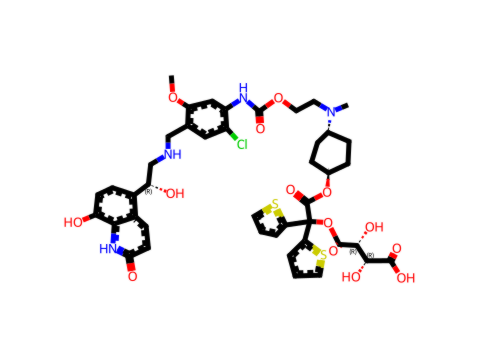 COc1cc(NC(=O)OCCN(C)[C@H]2CC[C@H](OC(=O)C(OC(=O)[C@H](O)[C@@H](O)C(=O)O)(c3cccs3)c3cccs3)CC2)c(Cl)cc1CNC[C@H](O)c1ccc(O)c2[nH]c(=O)ccc12